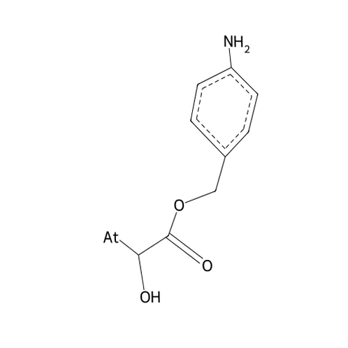 Nc1ccc(COC(=O)C(O)[At])cc1